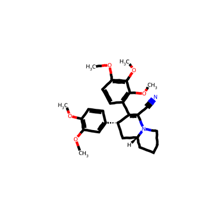 COc1ccc([C@H]2C[C@H]3CCCCN3C(C#N)=C2c2ccc(OC)c(OC)c2OC)cc1OC